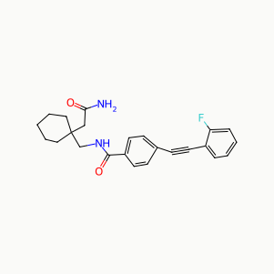 NC(=O)CC1(CNC(=O)c2ccc(C#Cc3ccccc3F)cc2)CCCCC1